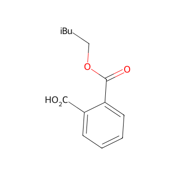 CCC(C)COC(=O)c1ccccc1C(=O)O